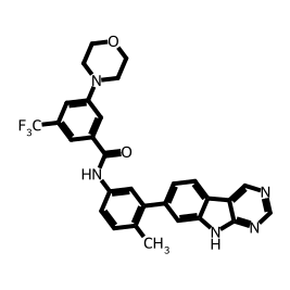 Cc1ccc(NC(=O)c2cc(N3CCOCC3)cc(C(F)(F)F)c2)cc1-c1ccc2c(c1)[nH]c1ncncc12